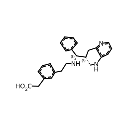 O=C(O)Cc1cccc(CCN[C@H](c2ccccc2)[C@H]2CNc3cccnc3C2)c1